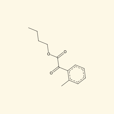 CCCCOC(=O)C(=O)c1ccccc1C